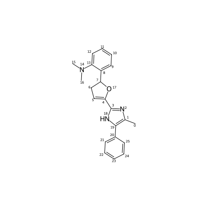 Cc1nc(C2=CCC(c3ccccc3N(C)C)O2)[nH]c1-c1ccccc1